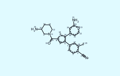 N#Cc1ccc(-c2cc(C(=O)N3CCCC(N)C3)sc2-c2ccnc(N)c2)cc1F